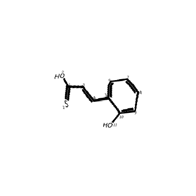 OC(=S)C=Cc1ccccc1O